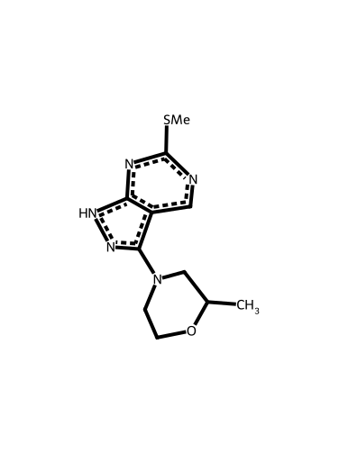 CSc1ncc2c(N3CCOC(C)C3)n[nH]c2n1